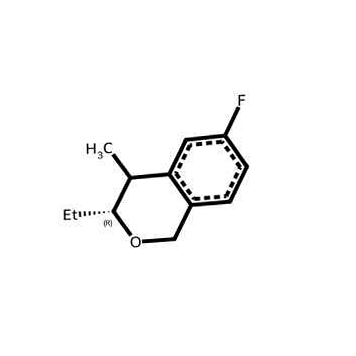 CC[C@H]1OCc2ccc(F)cc2C1C